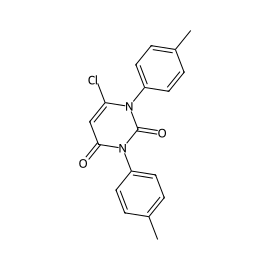 Cc1ccc(-n2c(Cl)cc(=O)n(-c3ccc(C)cc3)c2=O)cc1